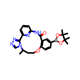 CC1CCOc2ccc(B3OC(C)(C)C(C)(C)O3)cc2C(=O)Nc2cccc(n2)-c2nncn21